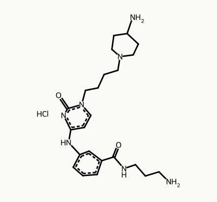 Cl.NCCCNC(=O)c1cccc(Nc2ccn(CCCCN3CCC(N)CC3)c(=O)n2)c1